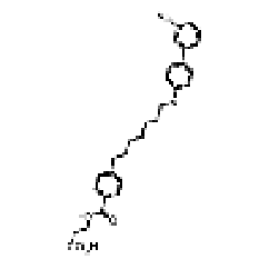 CC(=O)c1cccc(-c2ccc(SCCCCCCCc3ccc(C(=O)NCCC(=O)O)cc3)cc2)c1